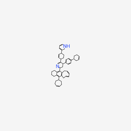 C1=CNCC(C2C=CC(C3=CN=C(c4c5c(c(C6CCC=CCC6)c6c4CCCC6)C/C=C/C=C\C5)CC3c3ccc([C@@H]4CC=CCC4)cc3)CC2)=C1